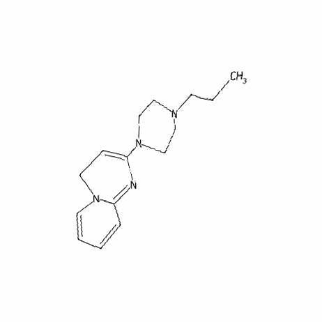 CCCN1CCN(C2=CCN3C=CC=CC3=N2)CC1